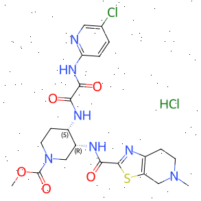 COC(=O)N1CC[C@H](NC(=O)C(=O)Nc2ccc(Cl)cn2)[C@H](NC(=O)c2nc3c(s2)CN(C)CC3)C1.Cl